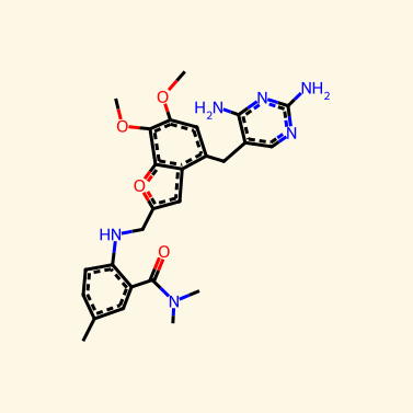 COc1cc(Cc2cnc(N)nc2N)c2cc(CNc3ccc(C)cc3C(=O)N(C)C)oc2c1OC